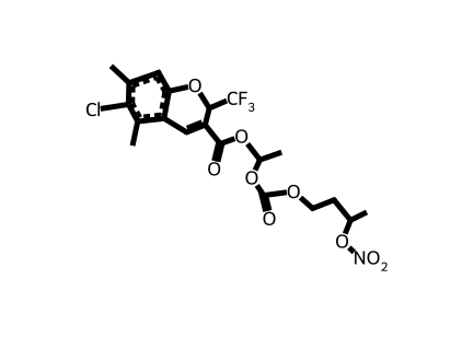 Cc1cc2c(c(C)c1Cl)C=C(C(=O)OC(C)OC(=O)OCCC(C)O[N+](=O)[O-])C(C(F)(F)F)O2